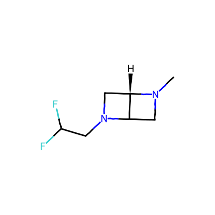 CN1CC2[C@@H]1CN2CC(F)F